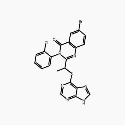 CC(Sc1ncnc2[nH]cnc12)c1nc2ccc(Br)cc2c(=O)n1-c1ccccc1Cl